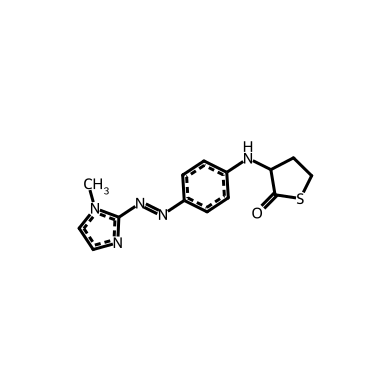 Cn1ccnc1/N=N/c1ccc(NC2CCSC2=O)cc1